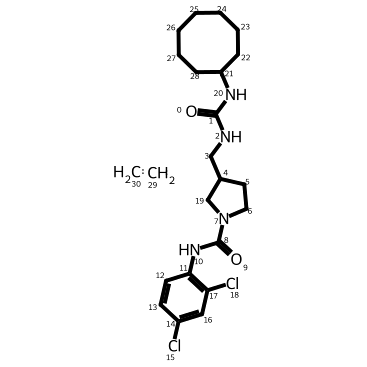 O=C(NCC1CCN(C(=O)Nc2ccc(Cl)cc2Cl)C1)N[C]1CCCCCCC1.[CH2].[CH2]